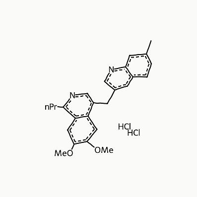 CCCc1ncc(Cc2cnc3cc(C)ccc3c2)c2cc(OC)c(OC)cc12.Cl.Cl